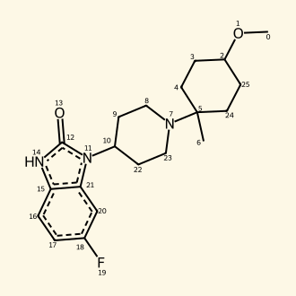 COC1CCC(C)(N2CCC(n3c(=O)[nH]c4ccc(F)cc43)CC2)CC1